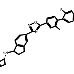 Cc1cc(-c2nc(-c3ccc4c(c3)CCC4N[C@H]3C[C@H](C)C3)no2)ccc1-c1ccccc1F